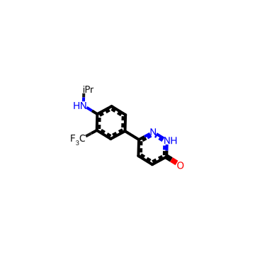 CC(C)Nc1ccc(-c2ccc(=O)[nH]n2)cc1C(F)(F)F